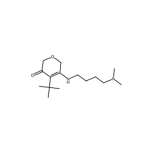 CN(C)CCCCNC1=C(C(C)(C)C)C(=O)COC1